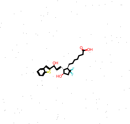 O=C(O)CCCCCC[C@@H]1[C@@H](/C=C/[C@@H](O)c2cc3ccccc3s2)[C@H](O)CC1(F)F